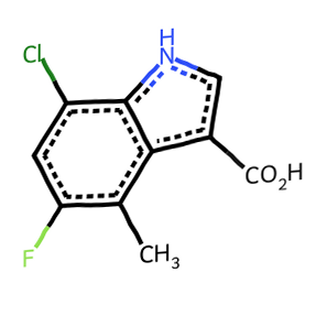 Cc1c(F)cc(Cl)c2[nH]cc(C(=O)O)c12